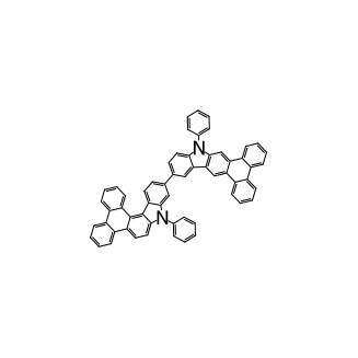 c1ccc(-n2c3ccc(-c4ccc5c6c7c8ccccc8c8ccccc8c7ccc6n(-c6ccccc6)c5c4)cc3c3cc4c5ccccc5c5ccccc5c4cc32)cc1